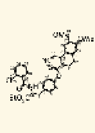 CCOC(=O)[C@H](Cc1ccc(OC(=S)N2CCc3cc(OC)c(OC)cc3C2CC#N)cc1)NC(=O)c1ccccc1Cl